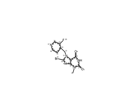 Cn1c(=O)[nH]c(=O)c2c1nc(Br)n2Cc1ccncc1F